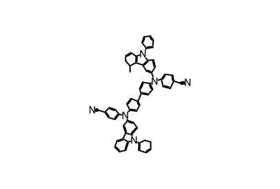 CC1CC=Cc2c1c1cc(N(c3ccc(C#N)cc3)c3ccc(-c4ccc(N(c5ccc(C#N)cc5)c5ccc6c(c5)c5ccccc5n6C5=CC=CCC5)cc4)cc3)ccc1n2-c1ccccc1